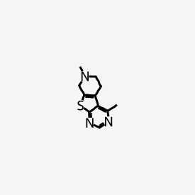 Cc1ncnc2sc3c(c12)CCN(C)C3